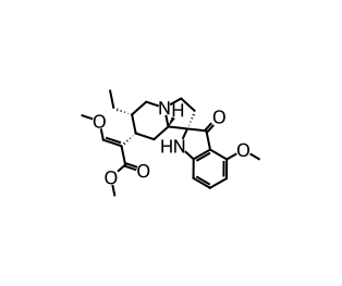 CC[C@@H]1CN2CC[C@]3(Nc4cccc(OC)c4C3=O)[C@@H]2C[C@@H]1/C(=C\OC)C(=O)OC